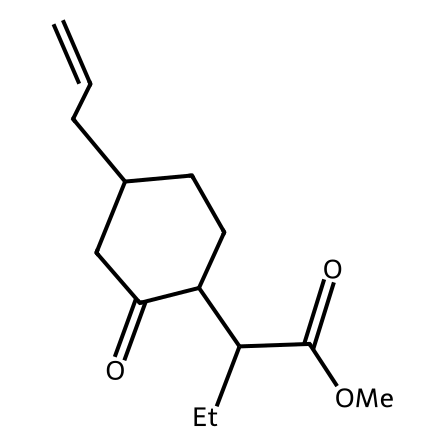 C=CCC1CCC(C(CC)C(=O)OC)C(=O)C1